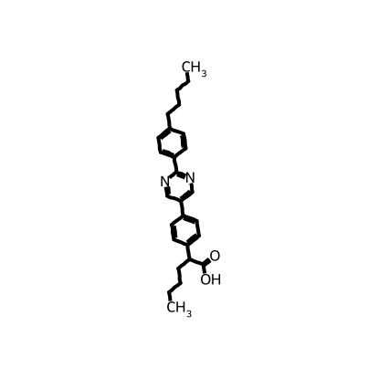 CCCCCc1ccc(-c2ncc(-c3ccc(C(CCCC)C(=O)O)cc3)cn2)cc1